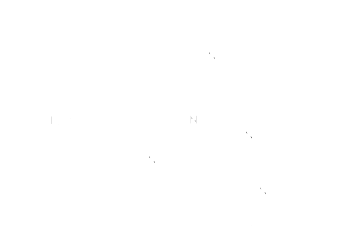 CN(C)c1cc(NCCC(=O)O)nc(-c2ccccn2)n1